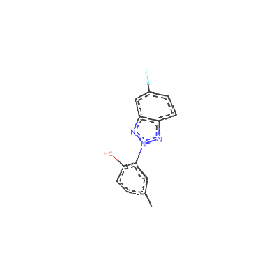 Cc1ccc(O)c(-n2nc3ccc(F)cc3n2)c1